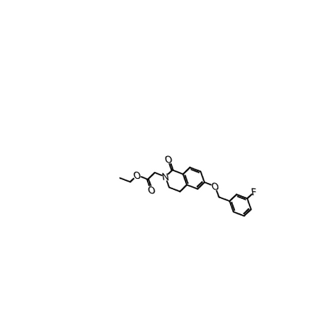 CCOC(=O)CN1CCc2cc(OCc3cccc(F)c3)ccc2C1=O